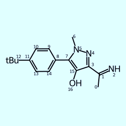 CC(=N)c1nn(C)c(-c2ccc(C(C)(C)C)cc2)c1O